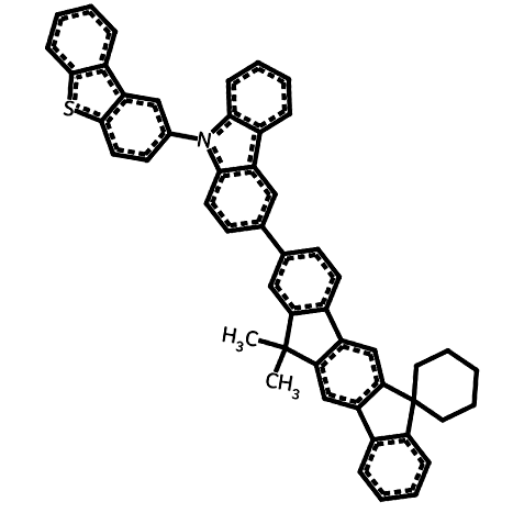 CC1(C)c2cc(-c3ccc4c(c3)c3ccccc3n4-c3ccc4sc5ccccc5c4c3)ccc2-c2cc3c(cc21)-c1ccccc1C31CCCCC1